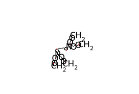 C=COCCOCCN(CCOCCOC=C)c1cccc(CCCc2cccc(N(CCOCCOC=C)CCOCCOC=C)c2)c1